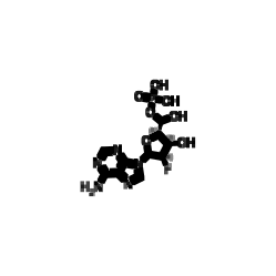 Nc1ncnc2c1ncn2C1O[C@H](C(O)OP(=O)(O)O)[C@@H](O)[C@H]1F